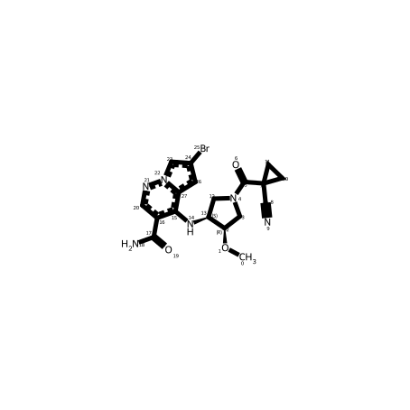 CO[C@@H]1CN(C(=O)C2(C#N)CC2)C[C@@H]1Nc1c(C(N)=O)cnn2cc(Br)cc12